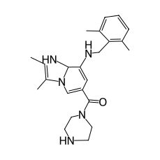 CC1=C(C)N2C=C(C(=O)N3CCNCC3)C=C(NCc3c(C)cccc3C)C2N1